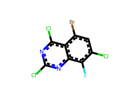 Fc1c(Cl)cc(Br)c2c(Cl)nc(Cl)nc12